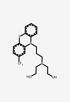 OCCN(CCO)CCCN1c2ccccc2Sc2ccc(C(F)(F)F)cc21